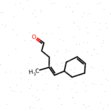 CC(=CC1CC=CCC1)CCC=O